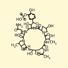 CC(=O)NC1CC(O)C(O)NC(=O)C2C(O)C(C)CN2C(=O)C(C(O)CC(N)=O)NC(=O)C(C(O)C(O)c2ccc(O)c(OS(=O)(=O)O)c2)NC(=O)C2CC(O)CN2C(=O)C(C(C)O)NC1=O